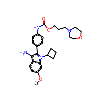 CCOc1ccc2c(N)c(-c3ccc(NC(=O)OCCCN4CCOCC4)cc3)n(C3CCC3)c2c1